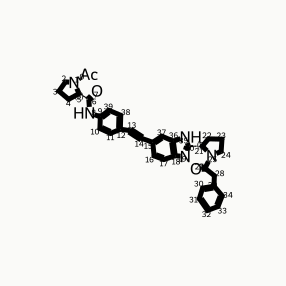 CC(=O)N1CCC[C@H]1C(=O)Nc1ccc(C#Cc2ccc3nc([C@@H]4CCCN4C(=O)Cc4ccccc4)[nH]c3c2)cc1